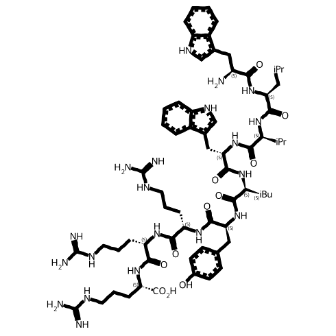 CC[C@H](C)[C@H](NC(=O)[C@H](Cc1c[nH]c2ccccc12)NC(=O)[C@@H](NC(=O)[C@H](CC(C)C)NC(=O)[C@@H](N)Cc1c[nH]c2ccccc12)C(C)C)C(=O)N[C@@H](Cc1ccc(O)cc1)C(=O)N[C@@H](CCCNC(=N)N)C(=O)N[C@@H](CCCNC(=N)N)C(=O)N[C@@H](CCCNC(=N)N)C(=O)O